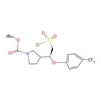 CC(C)(C)OC(=O)N1CCC([C@@H](CS(=O)(=O)Cl)Oc2ccc(C(F)(F)F)cc2)C1